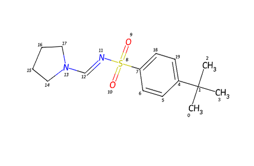 CC(C)(C)c1ccc(S(=O)(=O)N=CN2CCCC2)cc1